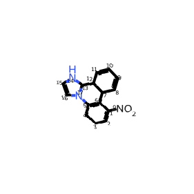 O=[N+]([O-])C1=CCCC2=C1C1C=CC=CC1C1NC=CN21